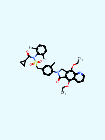 CCc1cccc(CC)c1N(C(=O)C1CC1)S(=O)(=O)Cc1ccc(N2Cc3c(c(OCC(F)(F)F)c4cccnc4c3OCC(F)(F)F)C2=O)c(C)c1